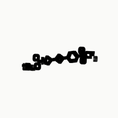 CC(C)(C)OC(=O)N1CC(C23CC(c4ccc(S(=O)(=O)C(F)(F)F)cc4)(C2)C3)C1